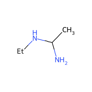 [CH2]CNC(C)N